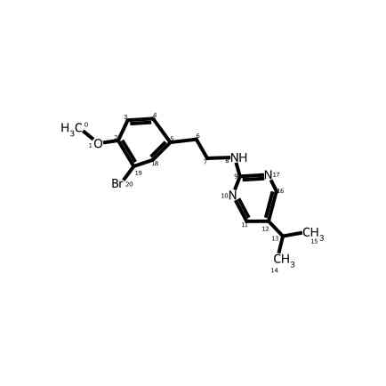 COc1ccc(CCNc2ncc(C(C)C)cn2)cc1Br